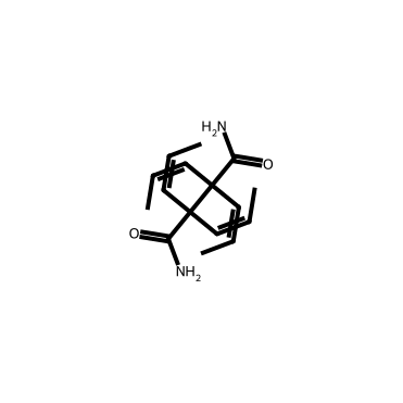 C/C=C\C(/C=C\C)(C(N)=O)C(/C=C\C)(/C=C\C)C(N)=O